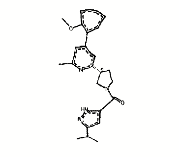 COc1ccccc1-c1cc(C)nc([C@@H]2CCN(C(=O)c3cc(C(C)C)n[nH]3)C2)c1